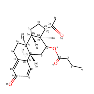 CCCC(=O)OC1C[C@H]2[C@@H](CCC3=CC(=O)C=C[C@@]32C)[C@@H]2CC[C@H](C(C)=O)[C@@]12C